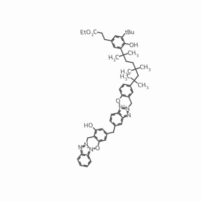 CCOC(=O)CCc1cc(C(C)(C)C)c(O)c(C(C)(C)CCC(C)(C)CC(C)(C)c2ccc3c(c2)Cn2nc4cc(Cc5cc(O)c6c(c5)O[n+]5c7ccccc7nn5C6)ccc4[n+]2O3)c1